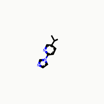 CC(C)c1ccc(-n2ccnc2)nc1